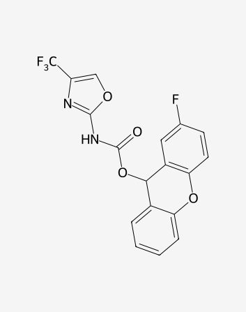 O=C(Nc1nc(C(F)(F)F)co1)OC1c2ccccc2Oc2ccc(F)cc21